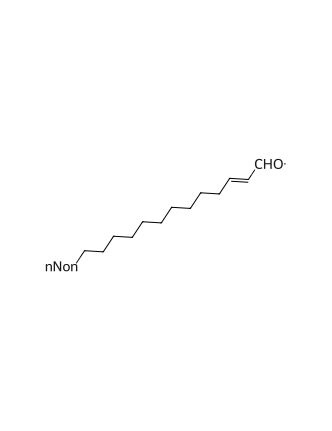 CCCCCCCCCCCCCCCCCCC/C=C/[C]=O